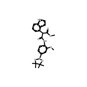 COC(=O)C(C(=O)Nc1ccc(B2OC(C)(C)C(C)(C)O2)cc1OC)c1cccc2[nH]ccc12